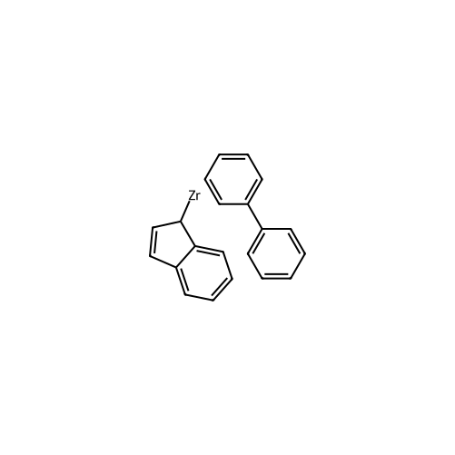 [Zr][CH]1C=Cc2ccccc21.c1ccc(-c2ccccc2)cc1